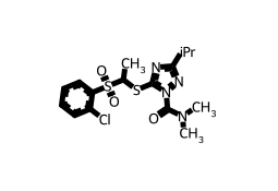 CC(C)c1nc(SC(C)S(=O)(=O)c2ccccc2Cl)n(C(=O)N(C)C)n1